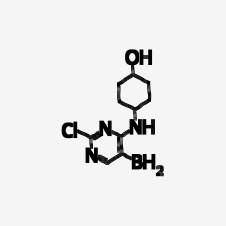 Bc1cnc(Cl)nc1NC1CCC(O)CC1